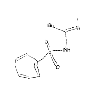 CCC(C)/C(=N\C)NS(=O)(=O)c1ccccc1